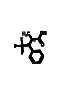 C[C@@H](C(=O)O)N(c1ccccc1)C(F)(F)F